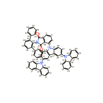 O=C1c2cccc(-n3c4ccc(-n5c6ccccc6c6ccccc65)cc4c4cc(-n5c6ccccc6c6ccccc65)ccc43)c2C(=O)N1c1c(-c2ccccc2)cccc1-c1ccccc1